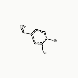 C=Cc1ccc(S)c(S)c1